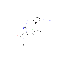 C=CCn1nc(-c2ccc(Cl)cc2Cl)c2nc(Nc3ccc(N4CCN(C)CC4)cc3)ncc2c1=O